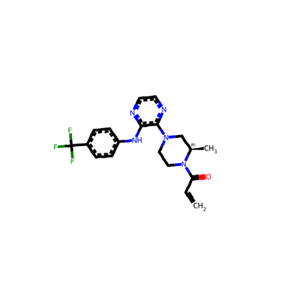 C=CC(=O)N1CCN(c2nccnc2Nc2ccc(C(F)(F)F)cc2)C[C@H]1C